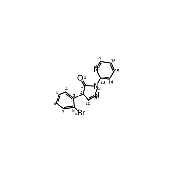 O=C1C(c2ccccc2Br)C=NN1c1ccccn1